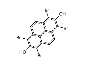 Oc1c(Br)c2ccc3c(Br)c(O)c(Br)c4ccc(c1Br)c2c34